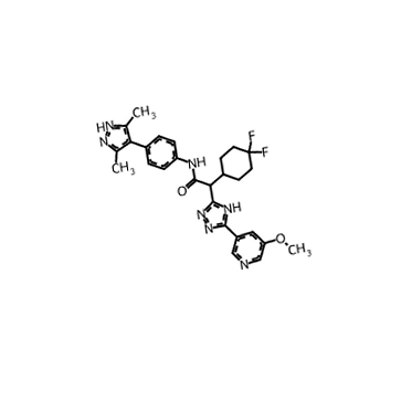 COc1cncc(-c2nnc(C(C(=O)Nc3ccc(-c4c(C)n[nH]c4C)cc3)C3CCC(F)(F)CC3)[nH]2)c1